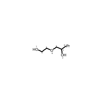 CC(C)C(O)COCCO